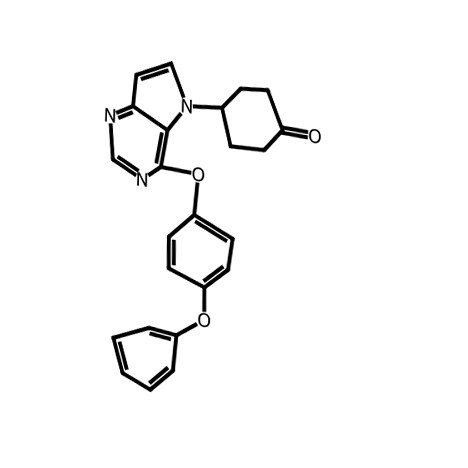 O=C1CCC(n2ccc3ncnc(Oc4ccc(Oc5ccccc5)cc4)c32)CC1